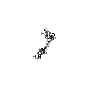 Cn1c(=O)n(C2CCC(=O)NC2=O)c2ccc(CCCCCNC(=O)C3CCCC(N)C3)cc21